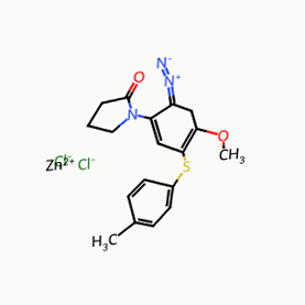 COC1=C(Sc2ccc(C)cc2)C=C(N2CCCC2=O)C(=[N+]=[N-])C1.[Cl-].[Cl-].[Zn+2]